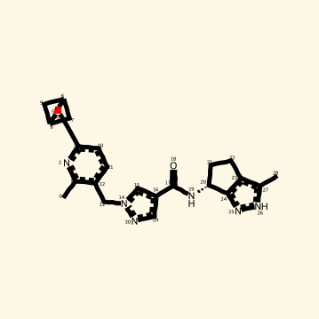 Cc1nc(N2CC3CC2C3)ccc1Cn1cc(C(=O)N[C@@H]2CCc3c2n[nH]c3C)cn1